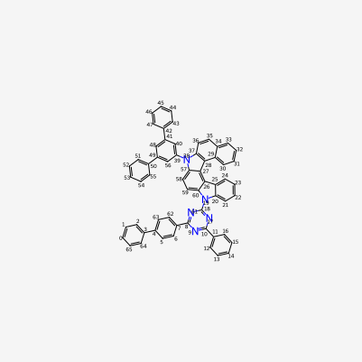 c1ccc(-c2ccc(-c3nc(-c4ccccc4)nc(-n4c5ccccc5c5c6c7c8ccccc8ccc7n(-c7cc(-c8ccccc8)cc(-c8ccccc8)c7)c6ccc54)n3)cc2)cc1